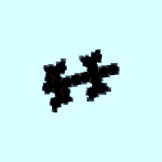 Cc1ccc2c(c1)c1cc(C)cc3c4cc5c(-c6ccc(-c7ccc(-c8ccc(-c9c%10cc%11c%12cc(C)cc%13c%14cc(C)ccc%14n(c%11cc%10c(-c%10ccccc%10-c%10ccccc%10)c%10cc%11c%14cc(C)cc%15c%16cc(C)ccc%16n(c%11cc9%10)c%15%14)c%13%12)c(-c9ccccc9)c8)cc7)cc6)c6cc7c(cc6c(-c6ccc(-c8ccccc8)cc6)c5cc4n2c13)c1cc(C)cc2c3cc(C)ccc3n7c21